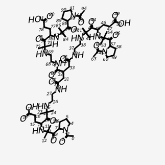 CC(=O)N1CCCC1C(=O)C(C)(C)NC(CCC(=O)O)C(=O)C(C)(C)NCCNC(=O)CC(CC(=O)NCCNC(C)(C)C(=O)C(CCC(=O)O)NC(C)(C)C(=O)C1CCCN1C(C)=O)C(=O)NCCNC(C)(C)C(=O)C(CCC(=O)O)NC(C)(C)C(=O)C1CCCN1C(C)=O